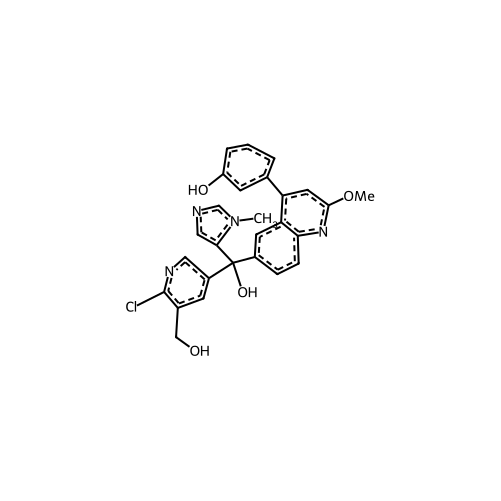 COc1cc(-c2cccc(O)c2)c2cc(C(O)(c3cnc(Cl)c(CO)c3)c3cncn3C)ccc2n1